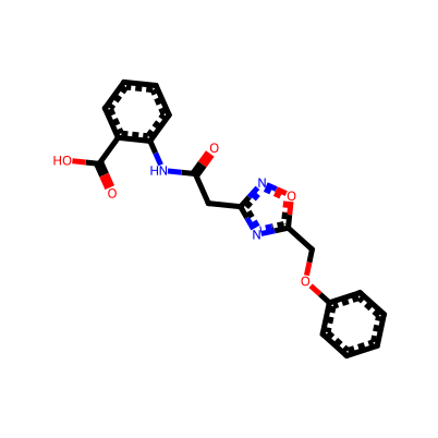 O=C(Cc1noc(COc2ccccc2)n1)Nc1ccccc1C(=O)O